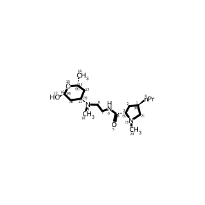 CCC[C@@H]1C[C@@H](C(=O)NCCN(C)[C@H]2C[C@@H](C)O[C@@H](O)C2)N(C)C1